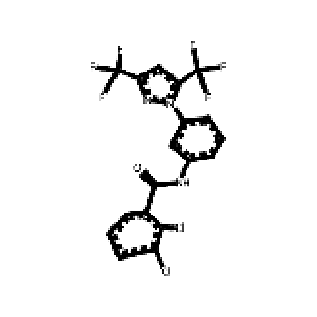 O=C(Nc1cccc(-n2nc(C(F)(F)F)cc2C(F)(F)F)c1)c1cccc(Cl)c1Cl